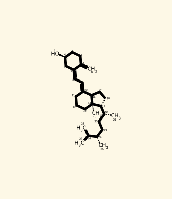 C=C1CC[C@H](O)C/C1=C/C=C1CCC[C@@]2(C)C1CC[C@@H]2[C@H](C)CC[C@H](C)C(C)C